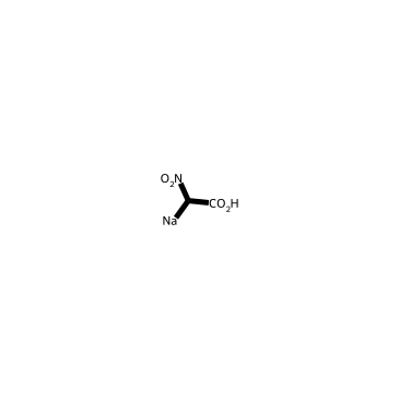 O=C(O)[CH]([Na])[N+](=O)[O-]